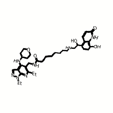 CCc1nc2c(cnn2CC)c(NC2CCOCC2)c1CNC(=O)CCCCCCCNCC(O)c1ccc(O)c2[nH]c(=O)ccc12